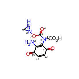 NC1=C(N(C(=O)O)C(=O)ON2CN2)C(=O)C=CC1=O